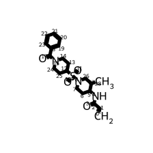 C=CC(=O)NC1CCN(S(=O)(=O)C2CCN(C(=O)c3ccccc3)CC2)CC1C